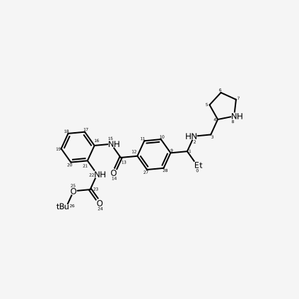 CCC(NCC1CCCN1)c1ccc(C(=O)Nc2ccccc2NC(=O)OC(C)(C)C)cc1